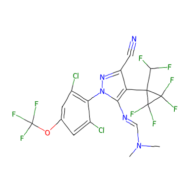 CN(C)C=Nc1c(C2(C(F)F)C(F)(F)C2(F)F)c(C#N)nn1-c1c(Cl)cc(OC(F)(F)F)cc1Cl